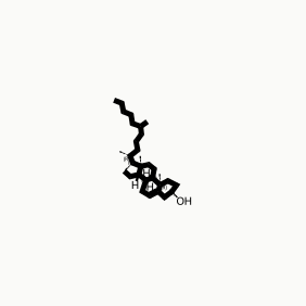 CCCCCC(C)CCC[C@@H](C)[C@H]1CC[C@H]2[C@@H]3CC=C4C[C@@H](O)CC[C@]4(C)[C@H]3CC[C@]12C